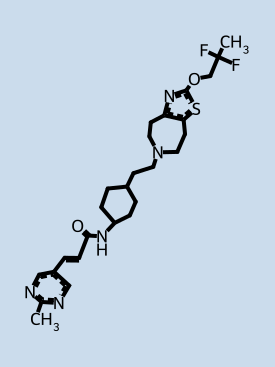 Cc1ncc(/C=C/C(=O)NC2CCC(CCN3CCc4nc(OCC(C)(F)F)sc4CC3)CC2)cn1